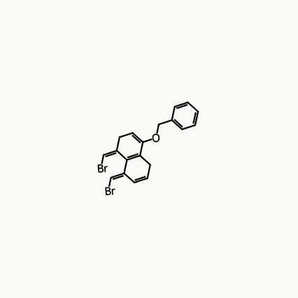 Br/C=C1/CC=C(OCc2ccccc2)C2=C1/C(=C/Br)C=CC2